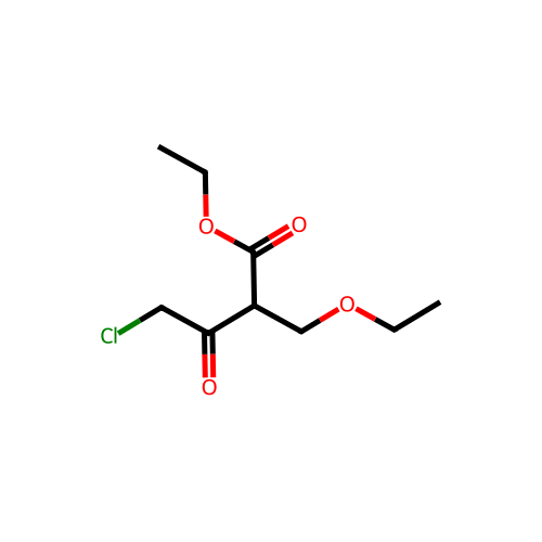 CCOCC(C(=O)CCl)C(=O)OCC